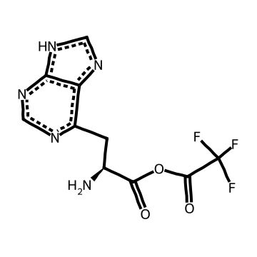 N[C@@H](Cc1ncnc2[nH]cnc12)C(=O)OC(=O)C(F)(F)F